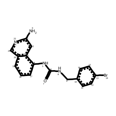 Nc1cc2c(NC(=O)NCc3ccc(Br)cc3)cccc2cn1